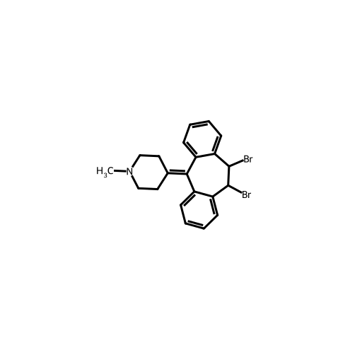 CN1CCC(=C2c3ccccc3C(Br)C(Br)c3ccccc32)CC1